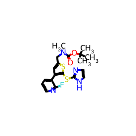 CN(Cc1cc(-c2cccnc2F)c(Sc2ncc[nH]2)s1)C(=O)OC(C)(C)C